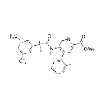 COC(=O)c1cc(-c2ccccc2C)c(N(C)C(=O)C(C)(C)c2cc(C(F)(F)F)cc(C(F)(F)F)c2)cn1